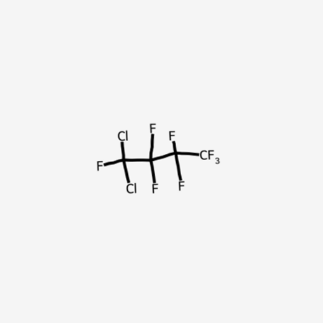 FC(F)(F)C(F)(F)C(F)(F)C(F)(Cl)Cl